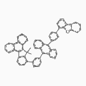 CC1(C)c2c(-c3cccc(-c4c5ccccc5c(-c5ccc(-c6cccc7c6oc6ccccc67)cc5)c5ccccc45)c3)cccc2-c2c1c1ccccc1c1ccccc21